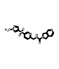 Cn1cc(S(=O)(=O)c2ccc(CNC(=O)N3Cc4ccncc4C3)nc2)cn1